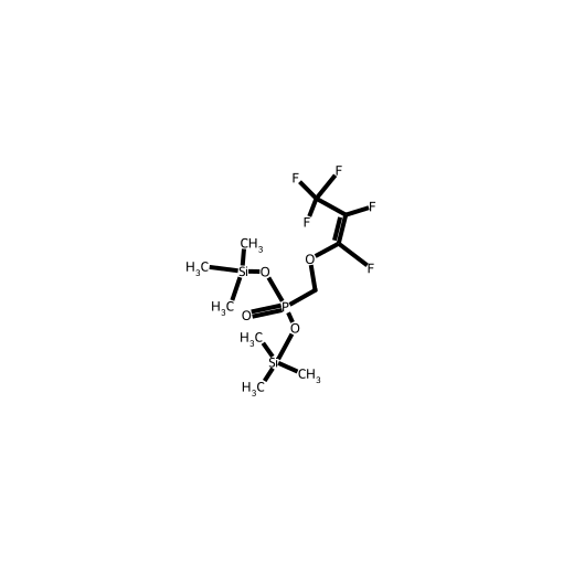 C[Si](C)(C)OP(=O)(CO/C(F)=C(/F)C(F)(F)F)O[Si](C)(C)C